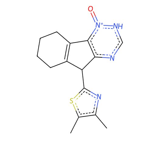 Cc1nc(C2C3=C(CCCC3)c3c2nc[nH][n+]3=O)sc1C